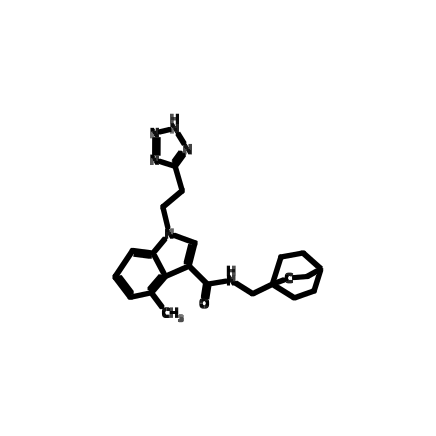 Cc1cccc2c1c(C(=O)NCC13CCC(CC1)CC3)cn2CCc1nn[nH]n1